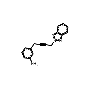 Nc1cccc(CC#CCn2nc3ccccc3n2)n1